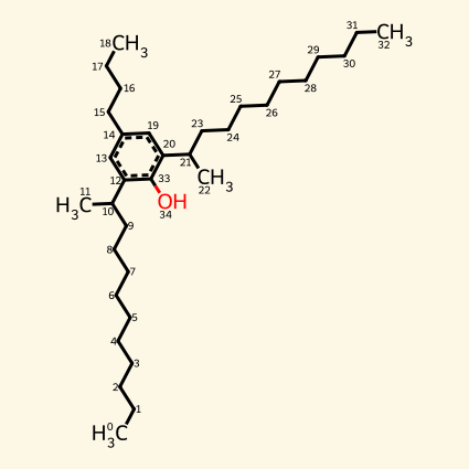 CCCCCCCCCCC(C)c1cc(CCCC)cc(C(C)CCCCCCCCCC)c1O